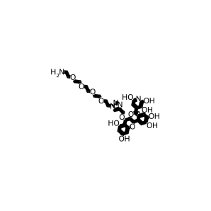 NCCOCCOCCOCCOCCn1cc(COC2c3c(O)cc(O)cc3OC(c3cc(O)c(O)c(O)c3)C2OC(=O)c2cc(O)nc(O)c2)nn1